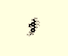 Cc1c(C(C)C(=O)O)cc2c(c1C(=O)c1ccc(S(C)(=O)=O)cc1)OCC2